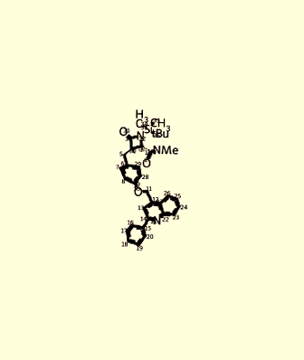 CNC(=O)[C@@H]1[C@@H](Cc2ccc(OCc3cc(-c4ccccc4)nc4ccccc34)cc2)C(=O)N1[Si](C)(C)C(C)(C)C